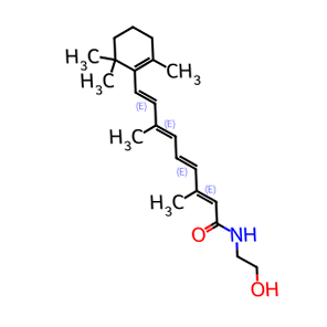 CC1=C(/C=C/C(C)=C/C=C/C(C)=C/C(=O)NCCO)C(C)(C)CCC1